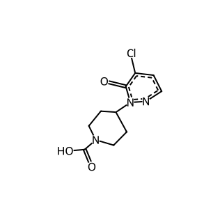 O=C(O)N1CCC(n2nccc(Cl)c2=O)CC1